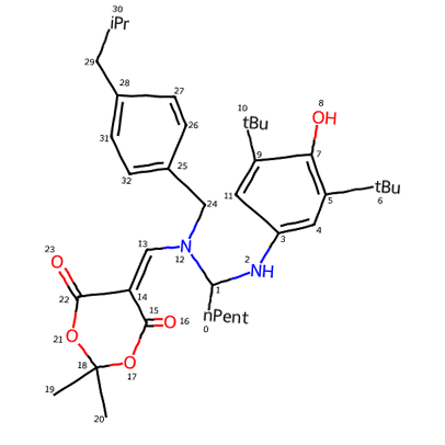 CCCCCC(Nc1cc(C(C)(C)C)c(O)c(C(C)(C)C)c1)N(C=C1C(=O)OC(C)(C)OC1=O)Cc1ccc(CC(C)C)cc1